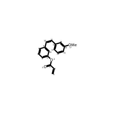 C=CC(=O)Oc1cccc(/C=C\c2cccc(OC)c2)c1